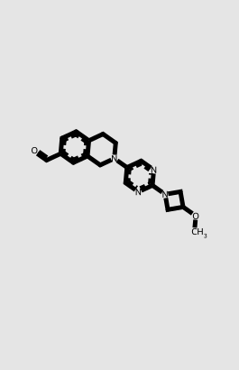 COC1CN(c2ncc(N3CCc4ccc(C=O)cc4C3)cn2)C1